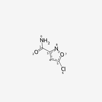 NC(=O)c1cc(Cl)on1